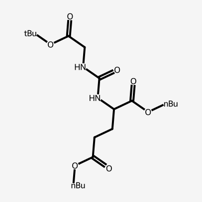 CCCCOC(=O)CCC(NC(=O)NCC(=O)OC(C)(C)C)C(=O)OCCCC